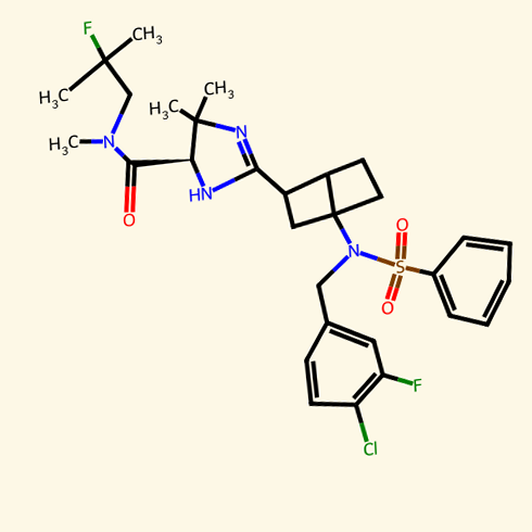 CN(CC(C)(C)F)C(=O)[C@@H]1NC(C2CC3(N(Cc4ccc(Cl)c(F)c4)S(=O)(=O)c4ccccc4)CCC23)=NC1(C)C